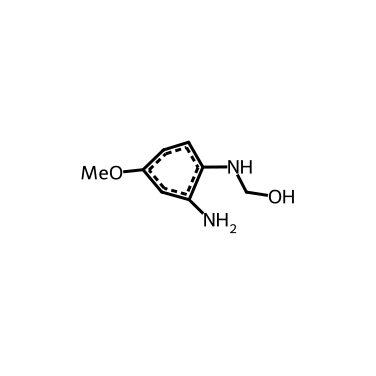 COc1ccc(NCO)c(N)c1